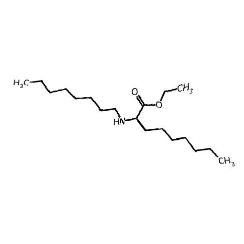 CCCCCCCCNC(CCCCCCC)C(=O)OCC